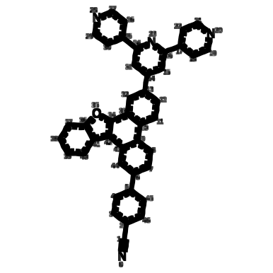 N#Cc1ccc(-c2ccc3c4ccc(-c5cc(-c6ccncc6)nc(-c6ccncc6)c5)cc4c4oc5ccccc5c4c3c2)cc1